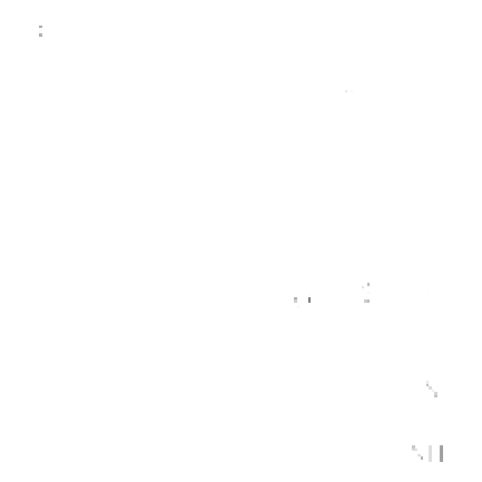 O=S(=O)(CC=C(Cl)c1ccc(Cl)cc1)c1n[nH]cc1F